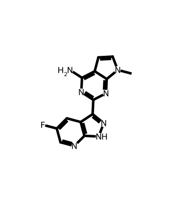 Cn1ccc2c(N)nc(-c3n[nH]c4ncc(F)cc34)nc21